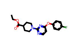 CCOC(=O)C1CCN(c2nccc(Oc3ccc(F)cc3)n2)CC1